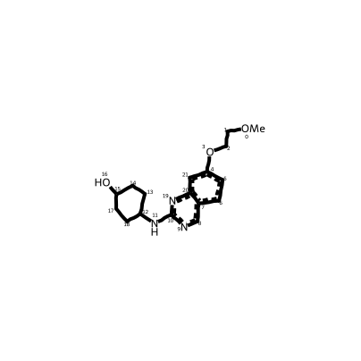 COCCOc1ccc2cnc(NC3CCC(O)CC3)nc2c1